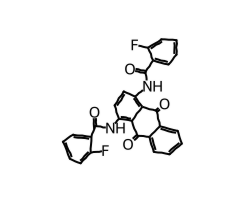 O=C(Nc1ccc(NC(=O)c2ccccc2F)c2c1C(=O)c1ccccc1C2=O)c1ccccc1F